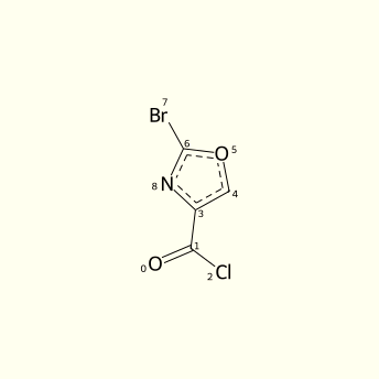 O=C(Cl)c1coc(Br)n1